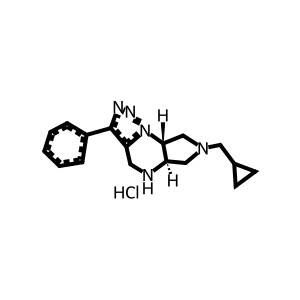 Cl.c1ccc(-c2nnn3c2CN[C@@H]2CN(CC4CC4)C[C@H]23)cc1